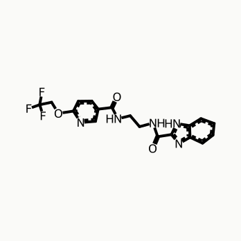 O=C(NCCNC(=O)c1nc2ccccc2[nH]1)c1ccc(OCC(F)(F)F)nc1